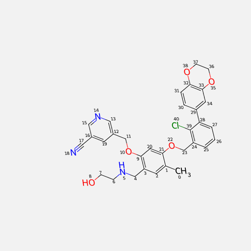 Cc1cc(CNCCO)c(OCc2cncc(C#N)c2)cc1OCc1cccc(-c2ccc3c(c2)OCCO3)c1Cl